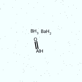 B.[BaH2].[O]=[AlH]